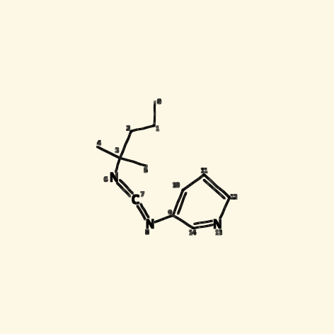 CCCC(C)(C)N=C=Nc1cccnc1